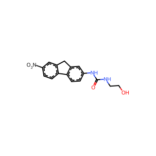 O=C(NCCO)Nc1ccc2c(c1)Cc1cc([N+](=O)[O-])ccc1-2